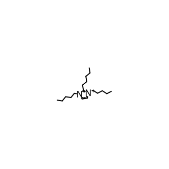 CCCCCc1n(CCCCC)cc[n+]1CCCCC